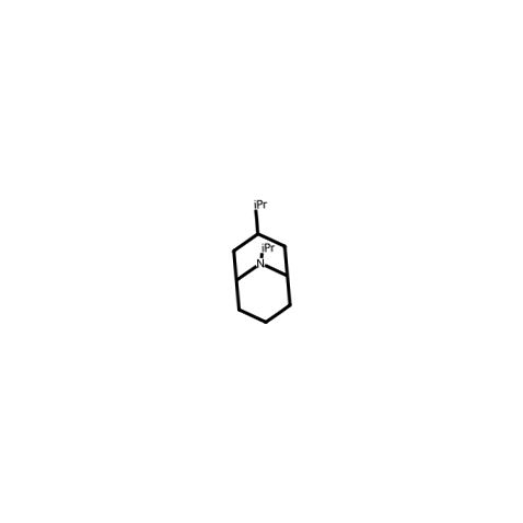 CC(C)C1CC2CCCC(C1)N2C(C)C